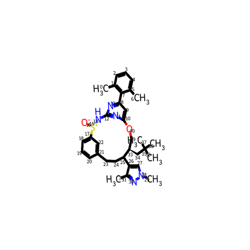 Cc1cccc(C)c1-c1cc2nc(n1)N[S+]([O-])c1cccc(c1)CCC(c1cn(C)nc1C)[C@H](CC(C)(C)C)CO2